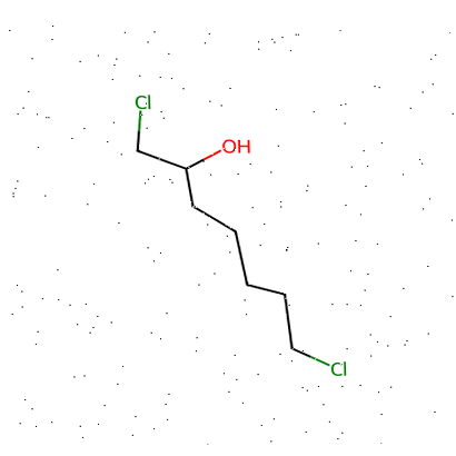 OC(CCl)CCCCCCl